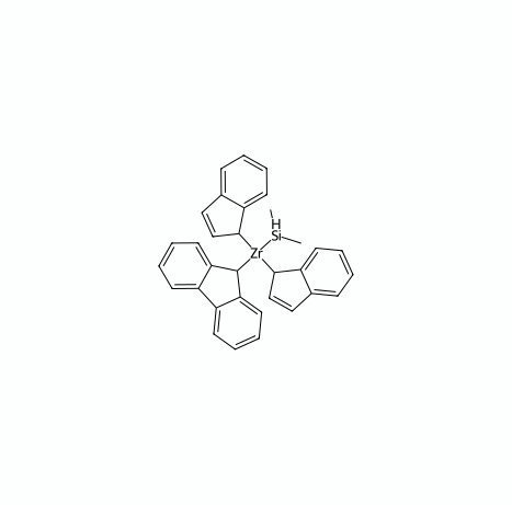 C[SiH](C)[Zr]([CH]1C=Cc2ccccc21)([CH]1C=Cc2ccccc21)[CH]1c2ccccc2-c2ccccc21